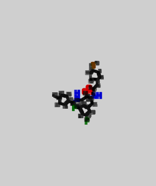 CSc1ccc(CC(=O)N[C@@H](Cc2cc(F)cc(F)c2)[C@@H](O)CNCc2ccc(C)cc2)cc1